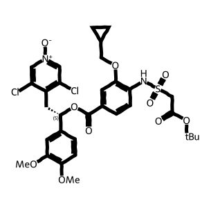 COc1ccc([C@H](Cc2c(Cl)c[n+]([O-])cc2Cl)OC(=O)c2ccc(NS(=O)(=O)CC(=O)OC(C)(C)C)c(OCC3CC3)c2)cc1OC